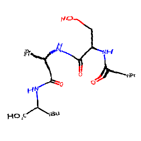 CCCC(=O)NC(CO)C(=O)NC(C(=O)NC(C(=O)O)C(C)CC)C(C)C